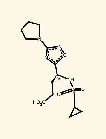 O=C(O)CC[C@H](NS(=O)(=O)C1CC1)c1nc(N2CCCC2)no1